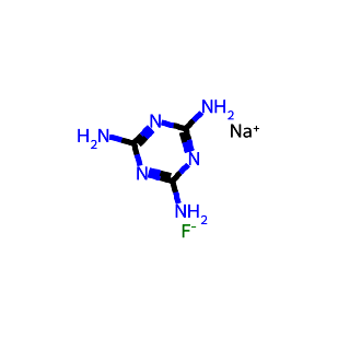 Nc1nc(N)nc(N)n1.[F-].[Na+]